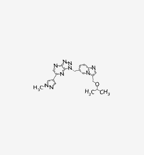 CC(C)OCc1cnc2ccc(Cn3nnc4ncc(-c5cnn(C)c5)nc43)cn12